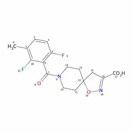 Cc1ccc(F)c(C(=O)N2CCC3(CC2)CC(C(=O)O)=NO3)c1F